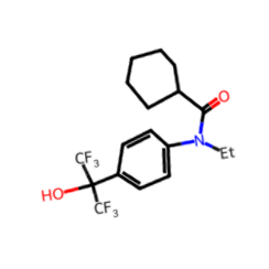 CCN(C(=O)C1CCCCC1)c1ccc(C(O)(C(F)(F)F)C(F)(F)F)cc1